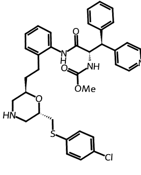 COC(=O)N[C@H](C(=O)Nc1ccccc1CC[C@@H]1CNC[C@@H](CSc2ccc(Cl)cc2)O1)[C@@H](c1ccccc1)c1ccncc1